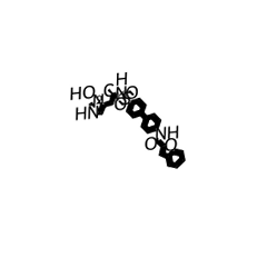 O=C(Nc1ccc(-c2ccc(S(=O)(=O)N[C@@H](Cc3c[nH]cn3)C(=O)O)cc2)cc1)c1cc2ccccc2o1